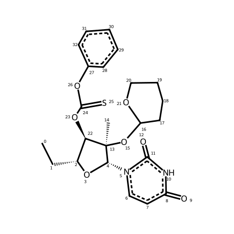 CC[C@H]1O[C@@H](n2ccc(=O)[nH]c2=O)[C@](C)(OC2CCCCO2)[C@@H]1OC(=S)Oc1ccccc1